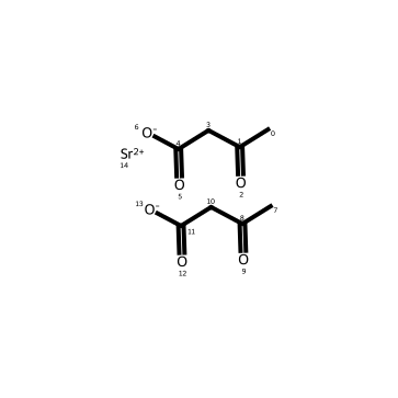 CC(=O)CC(=O)[O-].CC(=O)CC(=O)[O-].[Sr+2]